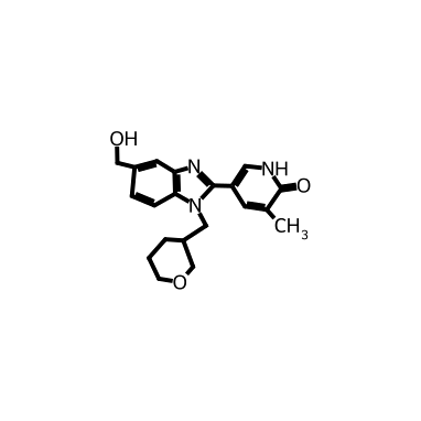 Cc1cc(-c2nc3cc(CO)ccc3n2CC2CCCOC2)c[nH]c1=O